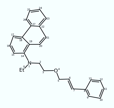 CCN(CCOCC=Cc1ccccc1)c1cccc2c1ccc1ccccc12